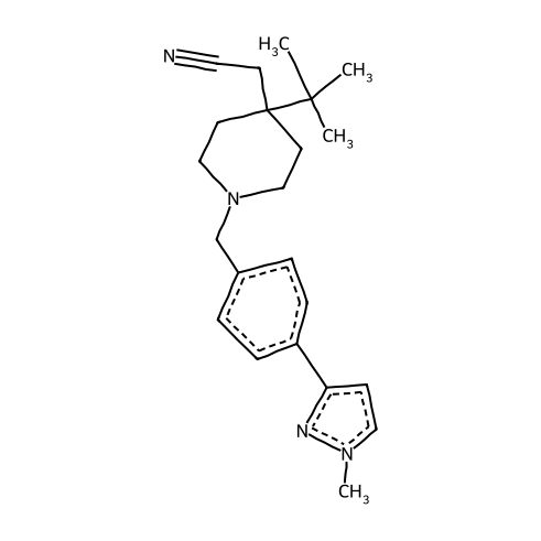 Cn1ccc(-c2ccc(CN3CCC(CC#N)(C(C)(C)C)CC3)cc2)n1